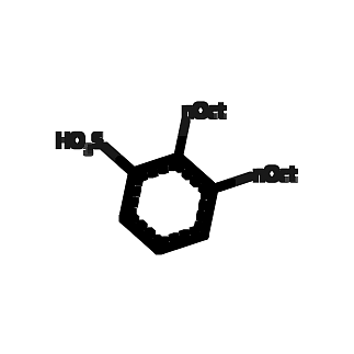 CCCCCCCCc1cccc(S(=O)(=O)O)c1CCCCCCCC